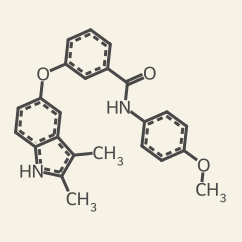 COc1ccc(NC(=O)c2cccc(Oc3ccc4[nH]c(C)c(C)c4c3)c2)cc1